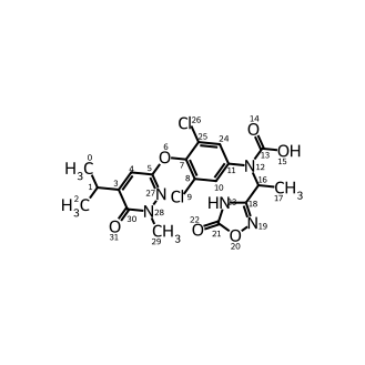 CC(C)c1cc(Oc2c(Cl)cc(N(C(=O)O)C(C)c3noc(=O)[nH]3)cc2Cl)nn(C)c1=O